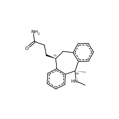 CN[C@]1(C)c2ccccc2C[C@H](CCC(N)=O)c2ccccc21